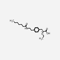 CCCCCCC(=O)NCCc1ccc(C[C@H](OCC)C(=O)O)cc1